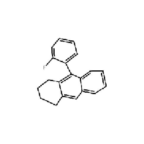 Fc1ccccc1-c1c2c(cc3ccccc13)CCCC2